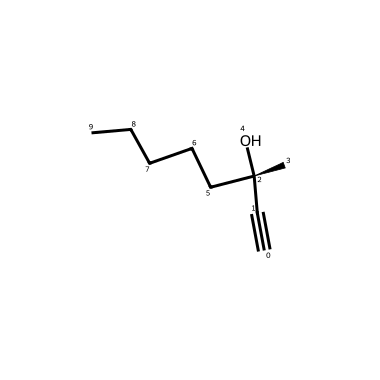 C#C[C@@](C)(O)CCCCC